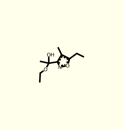 CCOC(C)(O)c1noc(CC)c1C